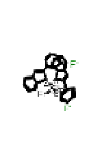 CC[SiH](CC)[Zr+2]([CH]1C(c2ccccc2)=Cc2ccccc21)[CH]1C(c2ccccc2)=Cc2ccccc21.[F-].[F-]